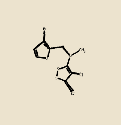 CN(Cc1sccc1Br)c1ssc(=O)c1Cl